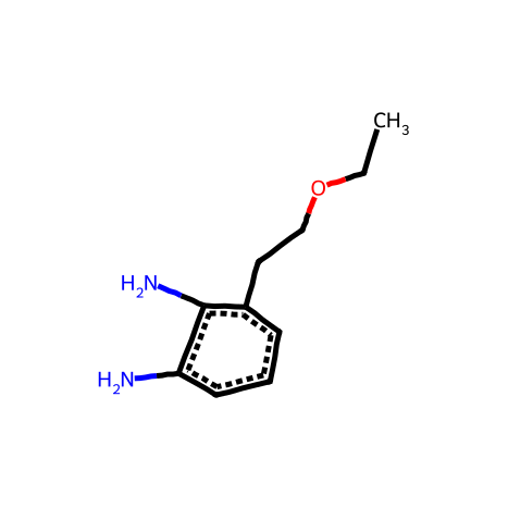 CCOCCc1cccc(N)c1N